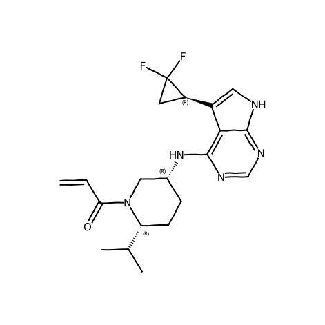 C=CC(=O)N1C[C@H](Nc2ncnc3[nH]cc([C@H]4CC4(F)F)c23)CC[C@@H]1C(C)C